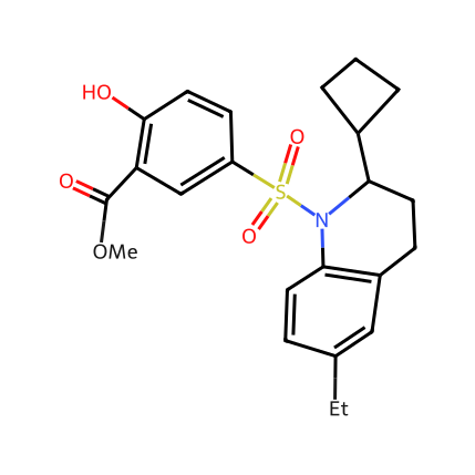 CCc1ccc2c(c1)CCC(C1CCC1)N2S(=O)(=O)c1ccc(O)c(C(=O)OC)c1